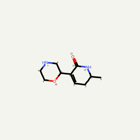 CC1CC=C(C2CNCCO2)C(=O)N1